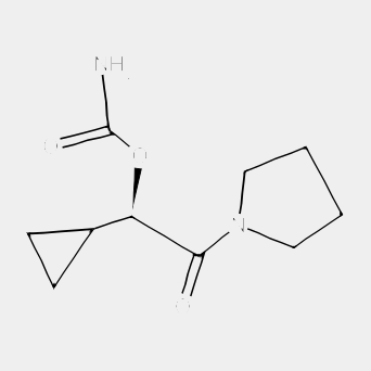 NC(=O)O[C@@H](C(=O)N1CCCC1)C1CC1